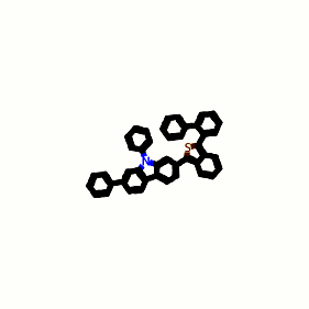 c1ccc(-c2ccc3c4ccc(-c5sc(-c6ccccc6-c6ccccc6)c6ccccc56)cc4n(-c4ccccc4)c3c2)cc1